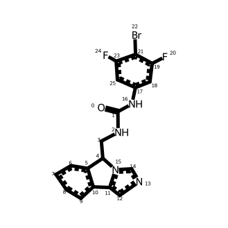 O=C(NCC1c2ccccc2-c2cncn21)Nc1cc(F)c(Br)c(F)c1